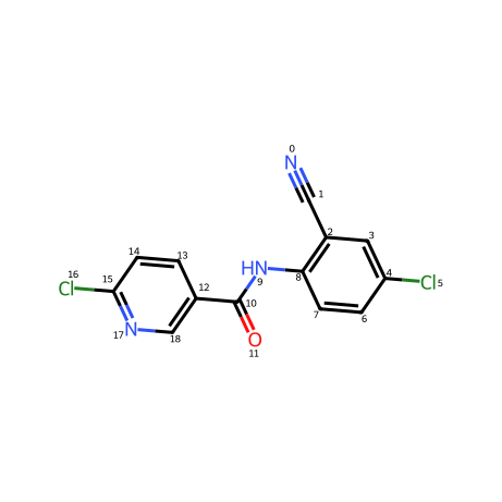 N#Cc1cc(Cl)ccc1NC(=O)c1ccc(Cl)nc1